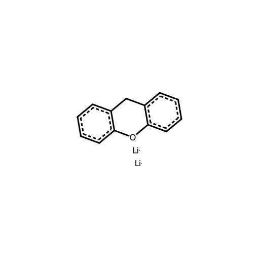 [Li].[Li].c1ccc2c(c1)Cc1ccccc1O2